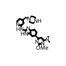 COc1nc(-c2ccc3nc(Nc4cc(CN5CCNCC5)ccn4)[nH]c3c2)cc(N(C)C)n1